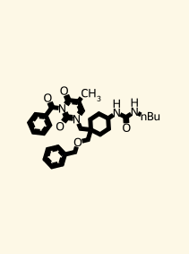 CCCCNC(=O)NC1CCC(COCc2ccccc2)(Cn2cc(C)c(=O)n(C(=O)c3ccccc3)c2=O)CC1